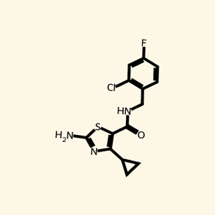 Nc1nc(C2CC2)c(C(=O)NCc2ccc(F)cc2Cl)s1